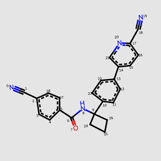 N#Cc1ccc(C(=O)NC2(c3ccc(-c4ccc(C#N)nc4)cc3)CCC2)cc1